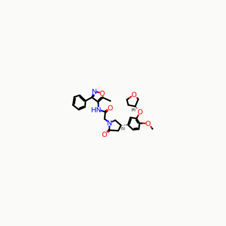 COc1ccc([C@@H]2CC(=O)N(CC(=O)Nc3c(-c4ccccc4)noc3C)C2)cc1O[C@@H]1CCOC1